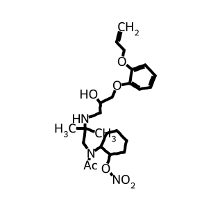 C=CCOc1ccccc1OCC(O)CNC(C)(C)CN(C(C)=O)C1CCCCC1O[N+](=O)[O-]